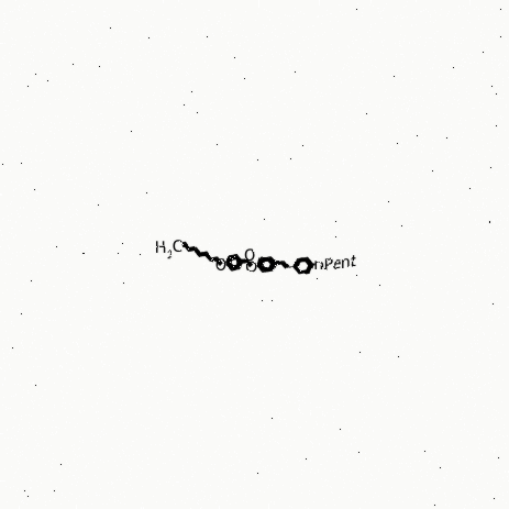 C=CCCCCCCOc1ccc(C(=O)Oc2ccc(CC[C@H]3CC[C@H](CCCCC)CC3)cc2)cc1